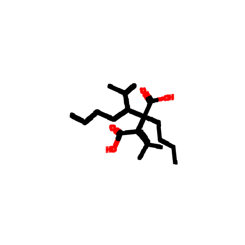 CCCCC(C(C)C)C(CCCC)(C(=O)O)C(C(=O)O)=C(C)C